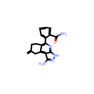 C=C1CCc2c(-c3ccccc3C(N)=O)nc3[nH]nc(N)c3c2C1